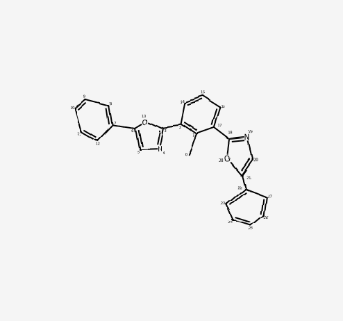 Cc1c(-c2ncc(-c3ccccc3)o2)cccc1-c1ncc(-c2ccccc2)o1